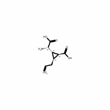 C=CC[C@@H]1[C@H](C(=O)O)[C@H]1[C@H](N)C(=O)O